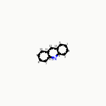 [c]1cc[c]c2nc3[c]cc[c]c3cc12